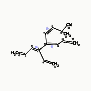 C=C/C=C(C=C)/C(/C=C\C(C)C#N)=C/C=C